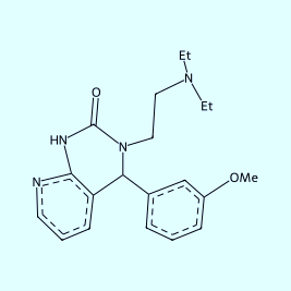 CCN(CC)CCN1C(=O)Nc2ncccc2C1c1cccc(OC)c1